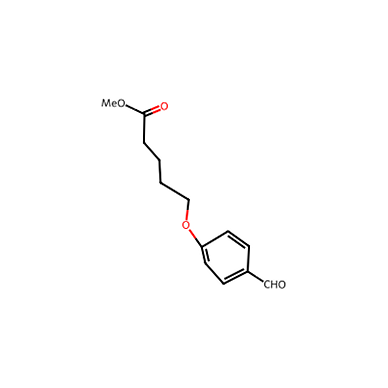 COC(=O)CCCCOc1ccc(C=O)cc1